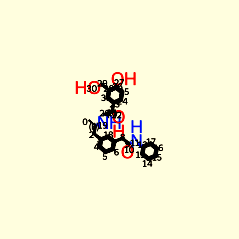 C[C@H](Cc1cccc(CC(=O)Nc2ccccc2)c1)NC[C@H](O)c1ccc(O)c(CO)c1